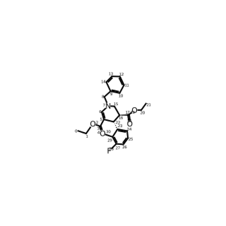 CCOC(=O)C1=CN(Cc2ccccc2)C[C@@H](C(=O)OCC)[C@@H]1c1cccc(F)c1C